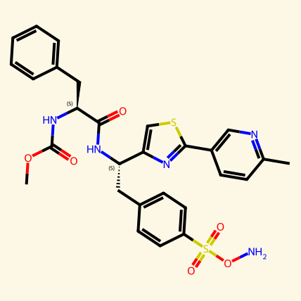 COC(=O)N[C@@H](Cc1ccccc1)C(=O)N[C@@H](Cc1ccc(S(=O)(=O)ON)cc1)c1csc(-c2ccc(C)nc2)n1